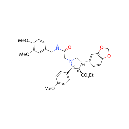 CCOC(=O)[C@@H]1[C@@H](c2ccc3c(c2)OCO3)CN(CC(=O)N(C)Cc2ccc(OC)c(OC)c2)[C@@H]1c1ccc(OC)cc1